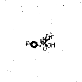 COc1ccc(Cn2nnc(CC(F)(F)F)c2C(=O)O)cc1